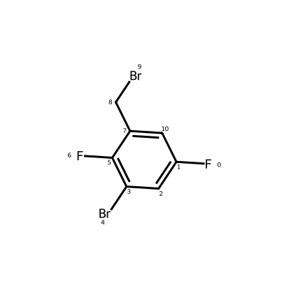 Fc1cc(Br)c(F)c(CBr)c1